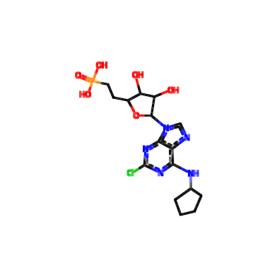 O=P(O)(O)CCC1OC(n2cnc3c(NC4CCCC4)nc(Cl)nc32)C(O)C1O